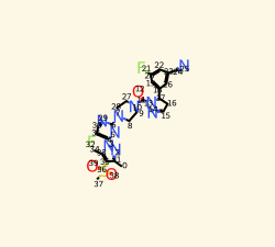 Cc1nn(-c2nc(N3CCN(C(=O)N4N=CCC4c4cc(F)cc(C#N)c4)CC3)ncc2F)c(C)c1S(C)(=O)=O